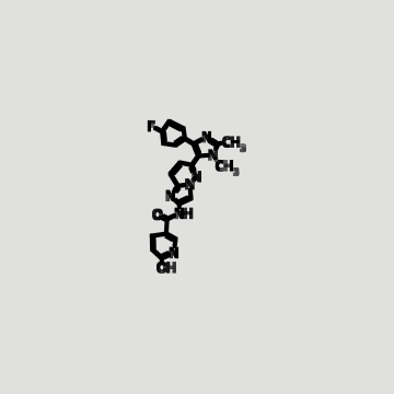 Cc1nc(-c2ccc(F)cc2)c(-c2ccc3nc(NC(=O)c4ccc(O)nc4)cn3n2)n1C